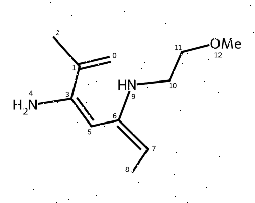 C=C(C)/C(N)=C\C(=C/C)NCCOC